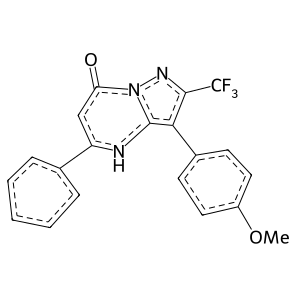 COc1ccc(-c2c(C(F)(F)F)nn3c(=O)cc(-c4ccccc4)[nH]c23)cc1